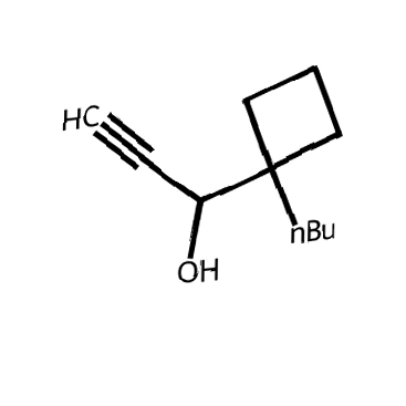 C#CC(O)C1(CCCC)CCC1